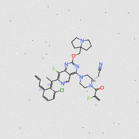 C=C/C=c1/cccc(Cl)/c1=C(/C)c1ncc2c(N3CCN(C(=O)C(=C)F)[C@@H](CC#N)C3)nc(OCC34CCCN3CCC4)nc2c1F